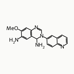 COc1cc2c(cc1N)C(N)N(c1ccc3ncccc3c1)C=N2